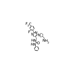 NCC1CCN(c2nc(-c3ccc(C(F)(F)F)cc3F)ncc2CNC(=O)Nc2ccccc2)C1